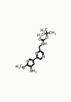 COc1ncc(-c2cncc(CNC(=O)OC(C)(C)C)n2)cc1N